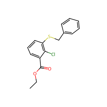 CCOC(=O)c1cccc(SCc2ccccc2)c1Cl